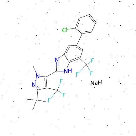 Cn1nc(C(C)(C)C)c(C(F)(F)F)c1-c1nc2cc(-c3ccccc3Cl)cc(C(F)(F)F)c2[nH]1.[NaH]